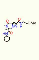 COCCNC(=O)c1cc2n(n1)CC(C)(C(=O)NC1CCCCC1)N(C)C2=O